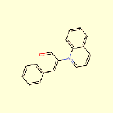 O=CC(=Cc1ccccc1)[n+]1cccc2ccccc21